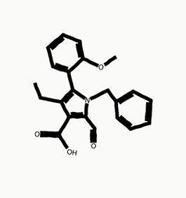 CCc1c(C(=O)O)c(C=O)n(Cc2ccccc2)c1-c1ccccc1OC